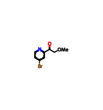 COCC(=O)c1cc(Br)ccn1